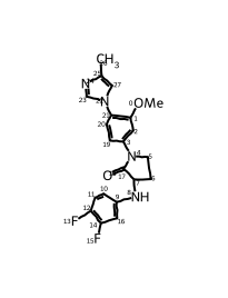 COc1cc(N2CCC(Nc3ccc(F)c(F)c3)C2=O)ccc1-n1cnc(C)c1